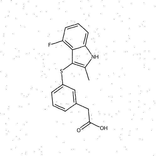 Cc1[nH]c2cccc(F)c2c1Sc1cccc(CC(=O)O)c1